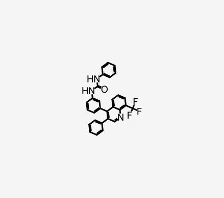 O=C(Nc1ccccc1)Nc1cccc(-c2c(-c3ccccc3)cnc3c(C(F)(F)F)cccc23)c1